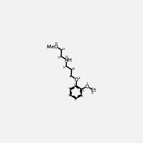 CCOc1ccccc1OCCCNCCOC